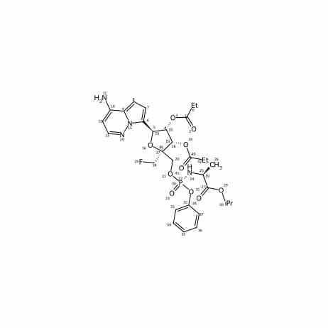 CCC(=O)O[C@H]1[C@H](c2ccc3c(N)ccnn23)O[C@](CF)(CO[P@@](=O)(N[C@@H](C)C(=O)OC(C)C)Oc2ccccc2)[C@H]1OC(=O)CC